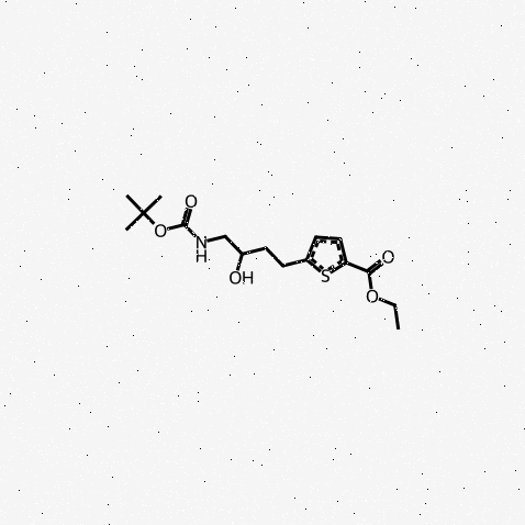 CCOC(=O)c1ccc(CCC(O)CNC(=O)OC(C)(C)C)s1